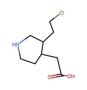 O=C(O)CC1CCNCC1CCCl